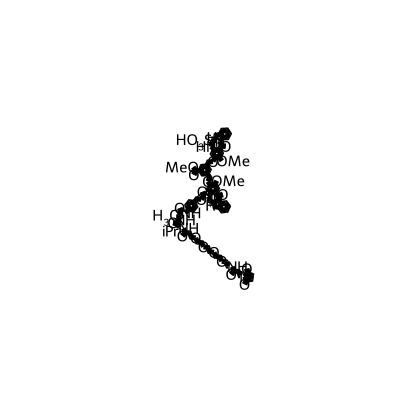 COC(=O)c1cc(COc2cc3c(cc2OC)C(=O)N2c4ccccc4C[C@H]2C(S(=O)(=O)O)N3)cc(COc2cc3c(cc2OC)C(=O)N2c4ccccc4C[C@H]2CN3C(=O)OCc2ccc(NC(=O)C(C)NC(=O)C(NC(=O)CCOCCOCCOCCOCCNC(=O)CCN3C(=O)C=CC3=O)C(C)C)cc2)c1